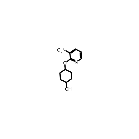 O=[N+]([O-])c1cccnc1OC1CCC(O)CC1